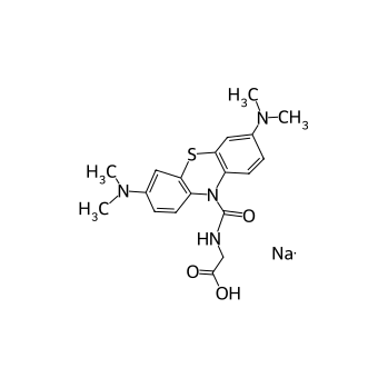 CN(C)c1ccc2c(c1)Sc1cc(N(C)C)ccc1N2C(=O)NCC(=O)O.[Na]